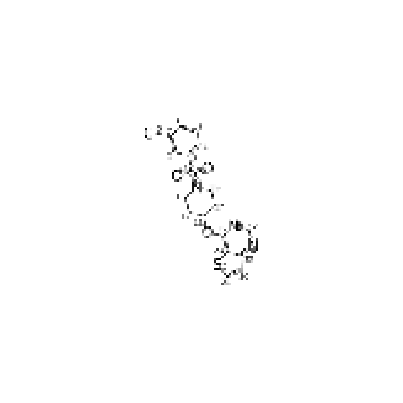 O=S(=O)(c1cccc(Cl)c1)N1CCC(Oc2ncnc3ccsc23)CC1